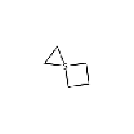 C1C[Si]2(C1)CC2